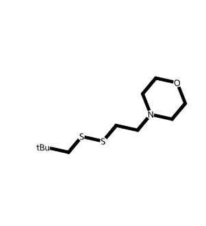 CC(C)(C)CSSCCN1CCOCC1